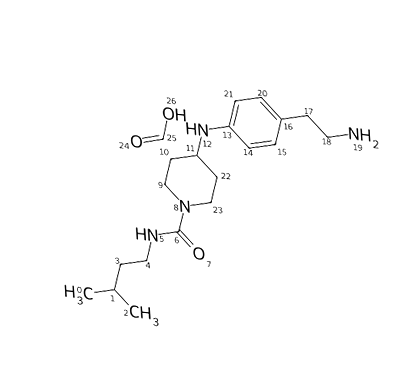 CC(C)CCNC(=O)N1CCC(Nc2ccc(CCN)cc2)CC1.O=CO